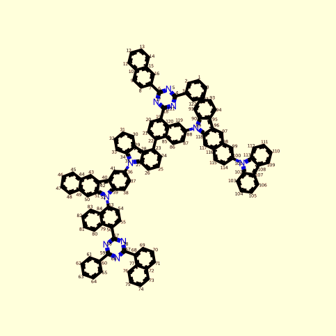 c1ccc(-c2nc(-c3ccc4ccccc4c3)nc(-c3ccc(-c4cccc5c4c4ccccc4n5-c4ccc5c(c4)c4cc6ccccc6cc4n5-c4ccc(-c5nc(-c6ccccc6)nc(-c6cccc7ccccc67)n5)c5ccccc45)c4ccc(-n5c6ccccc6c6cc7cc(-n8c9ccccc9c9ccccc98)ccc7cc65)cc34)n2)cc1